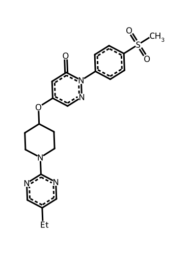 CCc1cnc(N2CCC(Oc3cnn(-c4ccc(S(C)(=O)=O)cc4)c(=O)c3)CC2)nc1